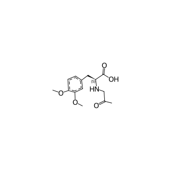 COc1ccc(C[C@H](NCC(C)=O)C(=O)O)cc1OC